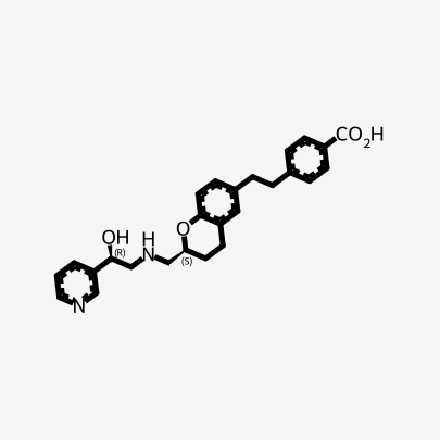 O=C(O)c1ccc(CCc2ccc3c(c2)CC[C@@H](CNC[C@H](O)c2cccnc2)O3)cc1